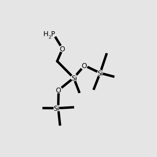 C[Si](C)(C)O[Si](C)(COP)O[Si](C)(C)C